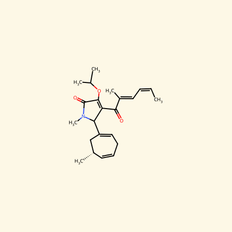 C/C=C\C=C(/C)C(=O)C1=C(OC(C)C)C(=O)N(C)C1C1=CCC=C[C@H](C)C1